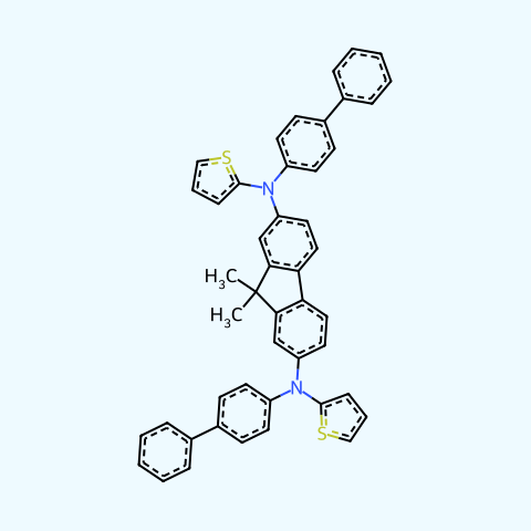 CC1(C)c2cc(N(c3ccc(-c4ccccc4)cc3)c3cccs3)ccc2-c2ccc(N(c3ccc(-c4ccccc4)cc3)c3cccs3)cc21